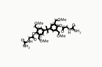 COCc1cc(C(C)(C)c2cc(COC)c(OC(=O)CNC(N)=O)c(COC)c2)cc(COC)c1OC(=O)CNC(N)=O